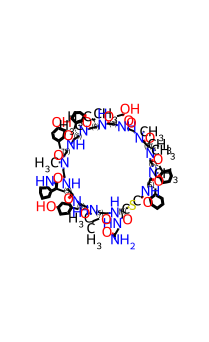 CC(C)C[C@@H]1NC(=O)[C@H](Cc2ccc(O)cc2)NC(=O)[C@H](Cc2c[nH]c3ccccc23)NC(=O)CN(C)C(=O)[C@H](Cc2ccc(O)cc2)NC(=O)[C@H](Cc2ccccc2)N(C)C(=O)[C@H](C(C)C)NC(=O)[C@H](CC(=O)O)NC(=O)CN(C)C(=O)[C@H](C)N(C)C(=O)[C@H](Cc2ccccc2)N(C)C(=O)[C@H](Cc2ccccc2)NC(=O)CSC[C@@H](C(=O)NCC(N)=O)NC1=O